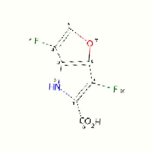 O=C(O)c1[nH]c2c(F)coc2c1F